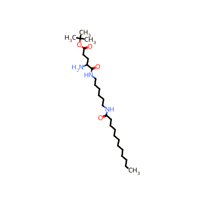 CCCCCCCCCCCC(=O)NCCCCCCNC(=O)C(N)CCC(=O)OC(C)(C)C